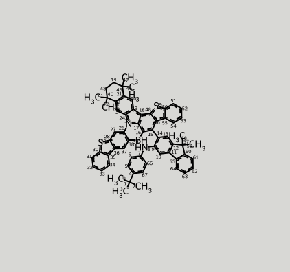 CC(C)(C)c1ccc(Nc2cc3c(cc2-c2c4c5c(c6cc7c(cc6n5-c5cc6sc8ccccc8c6cc5B4)C(C)(C)CCC7(C)C)c4sc5ccccc5c24)C(C)(C)c2ccccc2-3)cc1